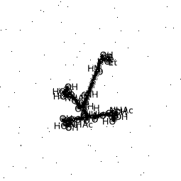 CCOP(=O)(O)OCC(CO)CCCCNC(=O)CCCCCCCCCCCNC(=O)CCCC(=O)N[C@@H](CCC(=O)N[C@@H](CCC(=O)NCCOCCOC1OC(CO)C(O)C(O)C1NC(C)=O)C(=O)NCCOCCOC1OC(CO)C(O)C(O)C1NC(C)=O)C(=O)NCCOCCOC1OC(CO)C(O)C(O)C1NC(C)=O